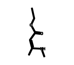 CCOC(=O)C=C(C)NC